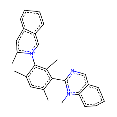 Cc1cc(C)c(-[n+]2cc3ccccc3cc2C)c(C)c1-c1ncc2ccccc2[n+]1C